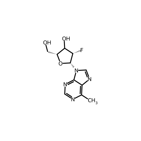 Cc1ncnc2c1ncn2[C@@H]1O[C@H](CO)C(O)[C@@H]1F